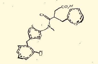 CN(C(=O)C(CC(=O)O)Cc1ccco1)c1nc(-c2ccccc2Cl)cs1